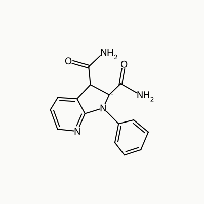 NC(=O)[C]1C(C(N)=O)c2cccnc2N1c1ccccc1